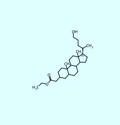 CCOC(=O)CC1CCC2(C)C(CCC3C2CCC2(C)C3CC[C@@H]2C(C)CCCO)C1